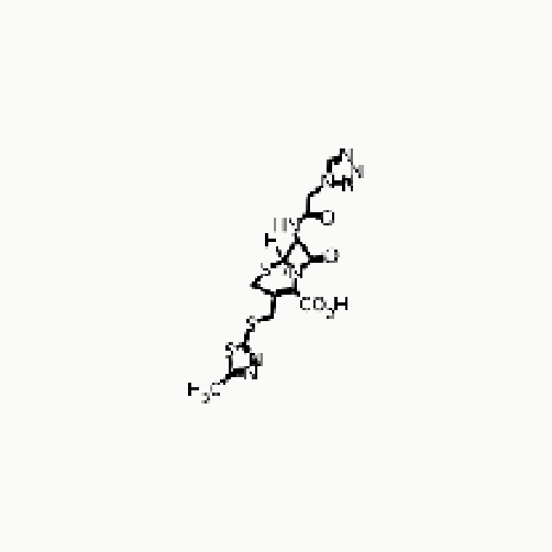 Cc1nnc(SCC2=C(C(=O)O)N3C(=O)C(NC(=O)Cn4cnnn4)[C@H]3SC2)s1